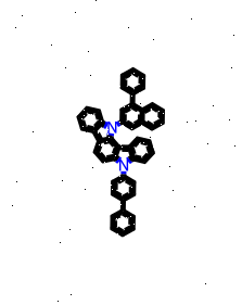 c1ccc(-c2ccc(-n3c4ccccc4c4c3ccc3c5ccccc5n(-c5cc(-c6ccccc6)c6ccccc6c5)c34)cc2)cc1